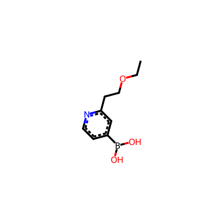 CCOCCc1cc(B(O)O)ccn1